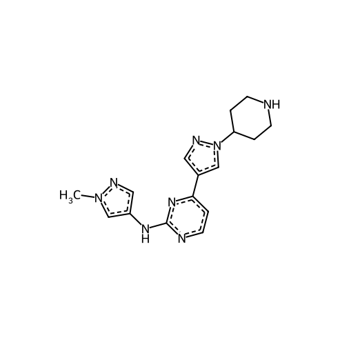 Cn1cc(Nc2nccc(-c3cnn(C4CCNCC4)c3)n2)cn1